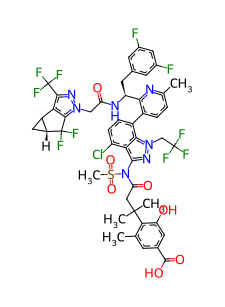 Cc1ccc(-c2ccc(Cl)c3c(N(C(=O)CC(C)(C)c4c(C)cc(C(=O)O)cc4O)S(C)(=O)=O)nn(CC(F)(F)F)c23)c([C@H](Cc2cc(F)cc(F)c2)NC(=O)Cn2nc(C(F)(F)F)c3c2C(F)(F)[C@@H]2CC32)n1